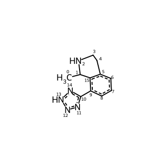 CC1NCCc2cccc(-c3nn[nH]n3)c21